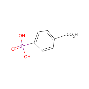 O=C(O)c1ccc(P(=O)(O)O)cc1